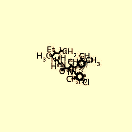 C=CCC(CC)C(C)NCCNC(=O)c1nn(-c2ccc(Cl)cc2Cl)c(-c2ccc(C)c(C)c2)c1C